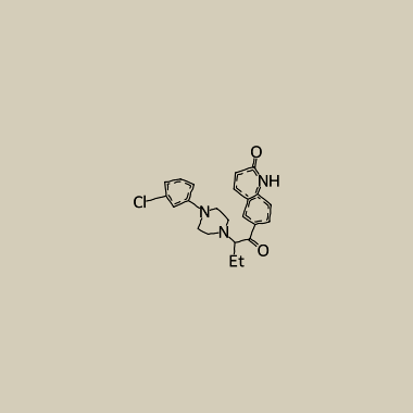 CCC(C(=O)c1ccc2[nH]c(=O)ccc2c1)N1CCN(c2cccc(Cl)c2)CC1